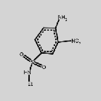 CCNS(=O)(=O)c1ccc(N)c([N+](=O)[O-])c1